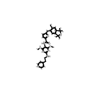 COc1nc(NCCc2ccncc2)nc(OC)c1NC(=O)c1ccc(Cc2cc3c(cc2C)C(C)(C)OC3(C)C)o1